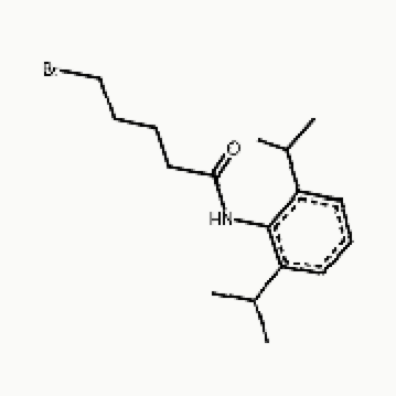 CC(C)c1cccc(C(C)C)c1NC(=O)CCCCBr